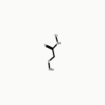 CCCCSCC(=O)NCC